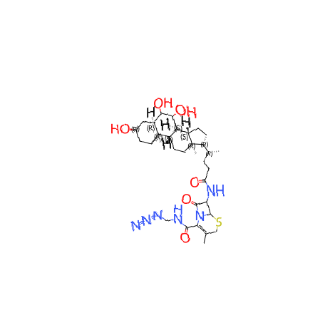 CC1=C(C(=O)NCN=[N+]=[N-])N2C(=O)C(NC(=O)CC[C@@H](C)[C@H]3CC[C@H]4[C@@H]5C(O)C(O)[C@@H]6C[C@H](O)CC[C@]6(C)[C@H]5CC[C@]34C)C2SC1